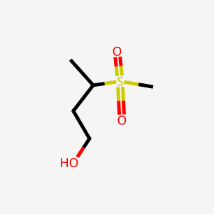 CC(CCO)S(C)(=O)=O